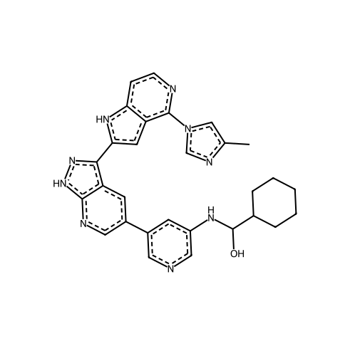 Cc1cn(-c2nccc3[nH]c(-c4n[nH]c5ncc(-c6cncc(NC(O)C7CCCCC7)c6)cc45)cc23)cn1